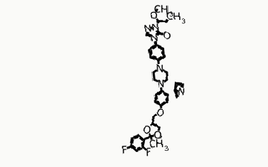 CCC(OC)n1ncn(-c2ccc(N3CCN(c4ccc(OCC5COC(C)(c6ccc(F)cc6F)O5)cc4)CC3)cc2)c1=O.c1cn2cc1-2